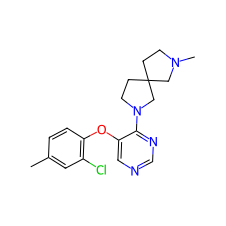 Cc1ccc(Oc2cncnc2N2CCC3(CCN(C)C3)C2)c(Cl)c1